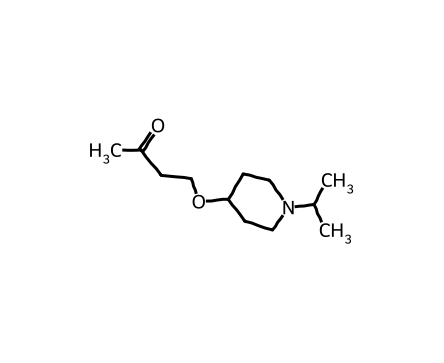 CC(=O)CCOC1CCN(C(C)C)CC1